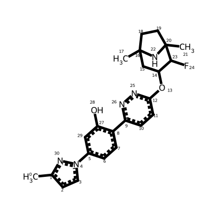 Cc1ccn(-c2ccc(-c3ccc(OC4CC5(C)CCC(C)(N5)C4F)nn3)c(O)c2)n1